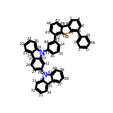 c1ccc(-c2cccc3c2sc2c(-c4cccc(-n5c6ccccc6c6ccc(-n7c8ccccc8c8ccccc87)cc65)c4)cccc23)cc1